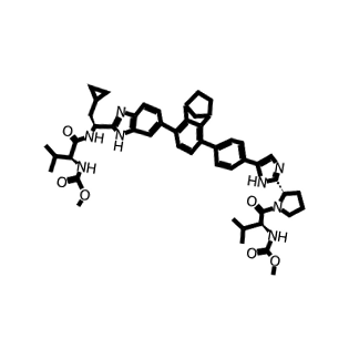 COC(=O)N[C@H](C(=O)N[C@@H](CC1CC1)c1nc2ccc(-c3ccc(-c4ccc(-c5cnc([C@@H]6CCCN6C(=O)[C@@H](NC(=O)OC)C(C)C)[nH]5)cc4)c4c3C3CCC4C3)cc2[nH]1)C(C)C